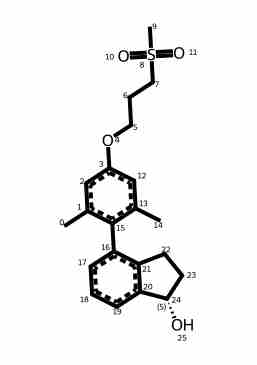 Cc1cc(OCCCS(C)(=O)=O)cc(C)c1-c1cccc2c1CC[C@@H]2O